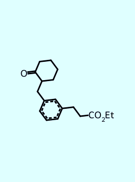 CCOC(=O)CCc1cccc(CC2CCCCC2=O)c1